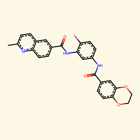 Cc1ccc2cc(C(=O)Nc3cc(NC(=O)c4ccc5c(c4)OCCO5)ccc3I)ccc2n1